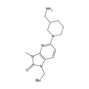 Cn1c(=O)n(CC(C)(C)C)c2ccc(N3CCCC(CN)C3)nc21